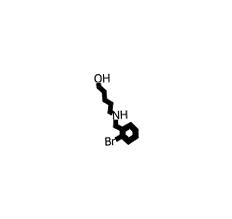 OCCCCCNCc1ccccc1Br